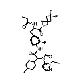 CCC(=O)N[C@@H](C(=O)N1CC2(C1)CC(F)(F)C2)[C@@H](C)c1ccc(NC(=O)[C@H](C2CCC(C)CC2)N(C=O)c2ccnn2CC)c(F)c1